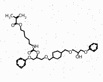 C=C(C)C(=O)OCCCCCNC(=O)OC(COCC1CCC(COCC(O)COc2ccccc2)CC1)COc1ccccc1